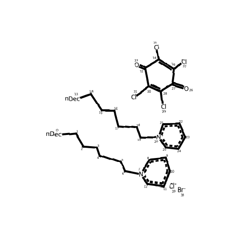 CCCCCCCCCCCCCCCC[n+]1ccccc1.CCCCCCCCCCCCCCCC[n+]1ccccc1.O=C1C(Cl)=C(Cl)C(=O)C(Cl)=C1Cl.[Br-].[Cl-]